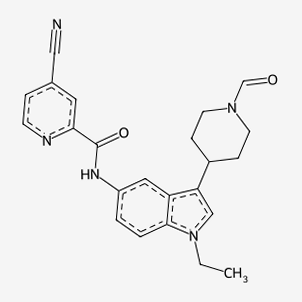 CCn1cc(C2CCN(C=O)CC2)c2cc(NC(=O)c3cc(C#N)ccn3)ccc21